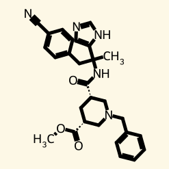 COC(=O)[C@@H]1C[C@H](C(=O)NC(C)(Cc2ccc(C#N)cc2)c2cnc[nH]2)CN(Cc2ccccc2)C1